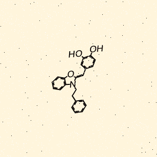 Oc1ccc(/C=C2\Oc3ccccc3N2CCc2ccccc2)cc1O